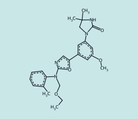 CCOCN(c1ncc(-c2cc(OC)cc(N3CC(C)(C)NC3=O)c2)o1)c1ccccc1C